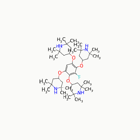 CC1(C)CC(Oc2cc(OC3CC(C)(C)NC(C)(C)C3)c(OC3CC(C)(C)NC(C)(C)C3)c(F)c2OC2CC(C)(C)NC(C)(C)C2)CC(C)(C)N1